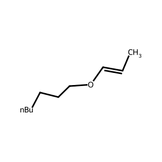 C[CH]CCCCCOC=CC